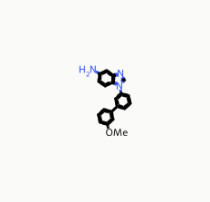 COc1cccc(-c2cccc(-n3cnc4cc(N)ccc43)c2)c1